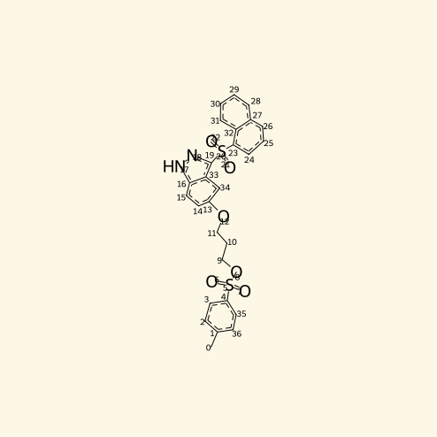 Cc1ccc(S(=O)(=O)OCCCOc2ccc3[nH]nc(S(=O)(=O)c4cccc5ccccc45)c3c2)cc1